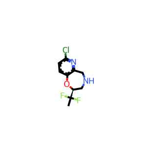 CC(F)(F)[C@@H]1CNCc2nc(Cl)ccc2O1